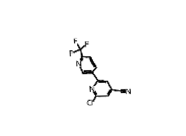 N#Cc1cc(Cl)nc(-c2ccc(C(F)(F)F)nc2)c1